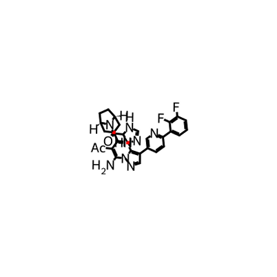 CC(=O)c1c(C2C[C@H]3CC[C@@H](C2)N3C(=O)C2NC=NN2)nc2c(-c3ccc(-c4cccc(F)c4F)nc3)cnn2c1N